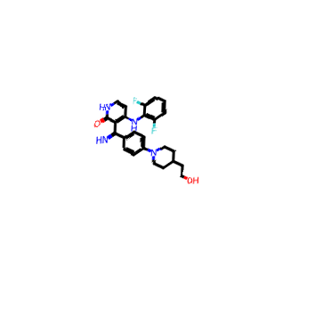 N=C(c1ccc(N2CCC(CCO)CC2)cc1)c1c(Nc2c(F)cccc2F)cc[nH]c1=O